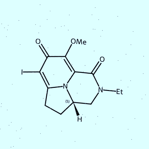 CCN1C[C@@H]2CCc3c(I)c(=O)c(OC)c(n32)C1=O